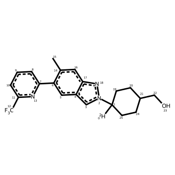 [2H]C1(n2cc3cc(-c4cccc(C(F)(F)F)n4)c(C)cc3n2)CCC(CO)CC1